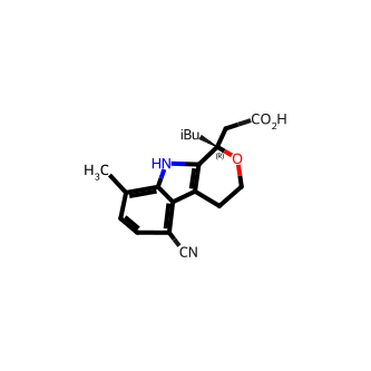 CCC(C)[C@@]1(CC(=O)O)OCCc2c1[nH]c1c(C)ccc(C#N)c21